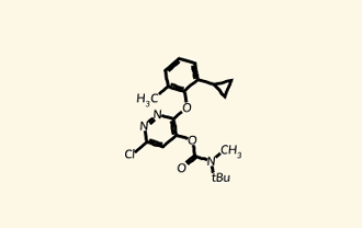 Cc1cccc(C2CC2)c1Oc1nnc(Cl)cc1OC(=O)N(C)C(C)(C)C